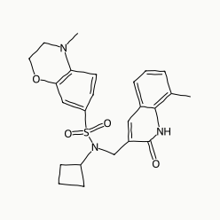 Cc1cccc2cc(CN(C3CCC3)S(=O)(=O)c3ccc4c(c3)OCCN4C)c(=O)[nH]c12